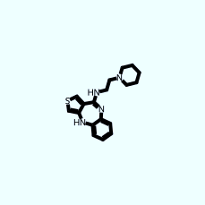 c1ccc2c(c1)N=C(NCCN1CCCCC1)c1cscc1N2